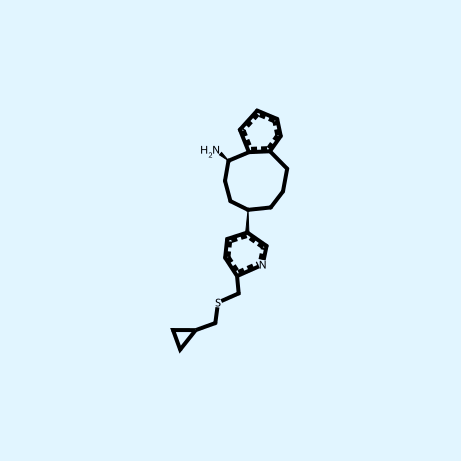 N[C@@H]1CC[C@H](c2ccc(CSCC3CC3)nc2)CCCc2ccccc21